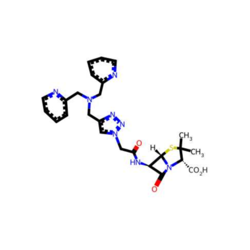 CC1(C)S[C@H]2[C@H](NC(=O)Cn3cc(CN(Cc4ccccn4)Cc4ccccn4)nn3)C(=O)N2[C@H]1C(=O)O